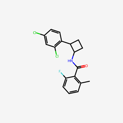 Cc1cccc(F)c1C(=O)NC1CCC1c1ccc(Cl)cc1Cl